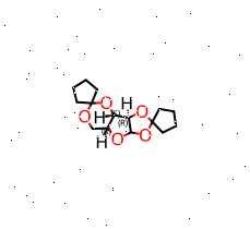 C1CCC2(C1)OC[C@H]1OC3OC4(CCCC4)O[C@@H]3[C@H]1O2